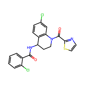 O=C(NC1CCN(C(=O)c2nccs2)c2cc(Cl)ccc21)c1ccccc1Cl